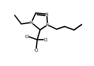 CCCCN1N=CN(CC)C1C(Cl)(Cl)Cl